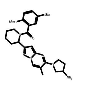 COc1ccc(C(C)(C)C)cc1C(=O)N1CCCCC1c1cc2nc(N3CCC(N)C3)c(C)cn2n1